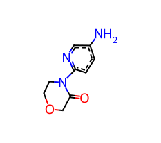 Nc1ccc(N2CCOCC2=O)nc1